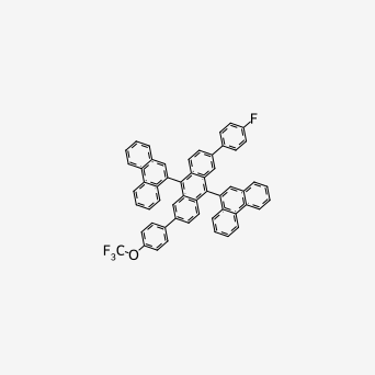 Fc1ccc(-c2ccc3c(-c4cc5ccccc5c5ccccc45)c4cc(-c5ccc(OC(F)(F)F)cc5)ccc4c(-c4cc5ccccc5c5ccccc45)c3c2)cc1